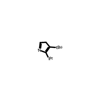 CC(C)C1=C(C(C)(C)C)CC=N1